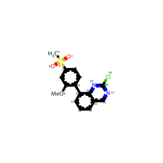 COc1cc(S(C)(=O)=O)ccc1-c1cccc2cnc(Cl)nc12